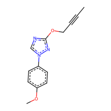 CC#CCOc1ncn(-c2ccc(OC)cc2)n1